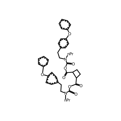 CCCN(CCc1ccc(Oc2ccccc2)cc1)C(=O)OC(=O)C1CCC1C(=O)OC(=O)N(CCC)CCc1ccc(Oc2ccccc2)cc1